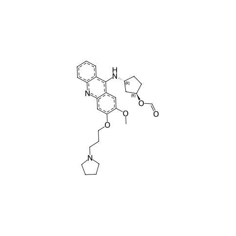 COc1cc2c(N[C@@H]3CC[C@@H](OC=O)C3)c3ccccc3nc2cc1OCCCN1CCCC1